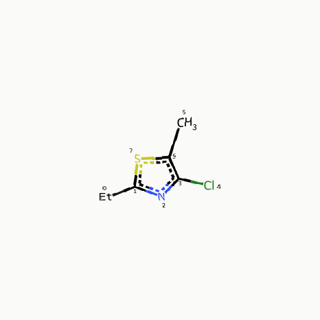 CCc1nc(Cl)c(C)s1